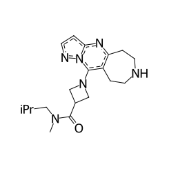 CC(C)CN(C)C(=O)C1CN(c2c3c(nc4ccnn24)CCNCC3)C1